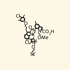 COCCn1c(C(=O)O)cc2cc(C)cc(N3CC(C)n4c(c(CCCOc5cc(C)c(Cl)c(C)c5)c5ccc(Cl)c(-c6c(C)nn(COCC[Si](C)(C)C)c6C)c54)C3=O)c21